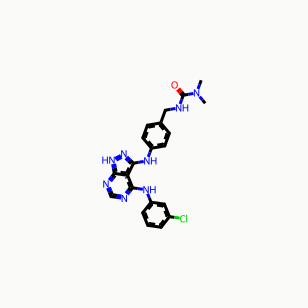 CN(C)C(=O)NCc1ccc(Nc2n[nH]c3ncnc(Nc4cccc(Cl)c4)c23)cc1